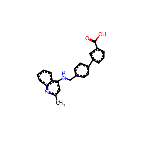 Cc1cc(NCc2ccc(-c3cccc(C(=O)O)c3)cc2)c2ccccc2n1